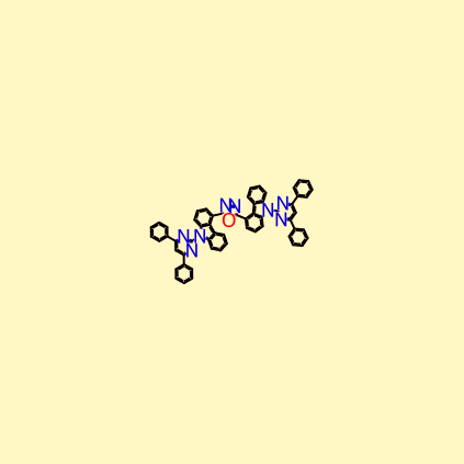 c1ccc(-c2cc(-c3ccccc3)nc(-n3c4ccccc4c4c(-c5nnc(-c6cccc7c6c6ccccc6n7-c6nc(-c7ccccc7)cc(-c7ccccc7)n6)o5)cccc43)n2)cc1